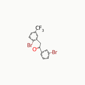 O=C(Cc1cc(C(F)(F)F)ccc1Br)c1cccc(Br)c1